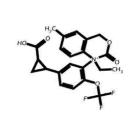 CC[N+]1(c2cc(C3CC3C(=O)O)ccc2OC(F)(F)F)C(=O)OCc2cc(C)ccc21